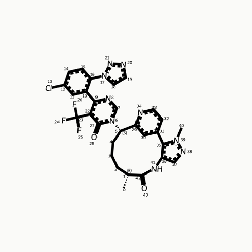 C[C@@H]1CCC[C@H](n2cnc(-c3cc(Cl)ccc3-n3ccnn3)c(C(F)(F)F)c2=O)c2cc(ccn2)-c2c(cnn2C)NC1=O